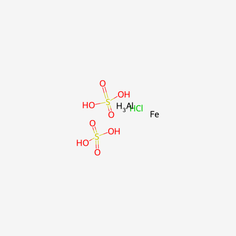 Cl.O=S(=O)(O)O.O=S(=O)(O)O.[AlH3].[Fe]